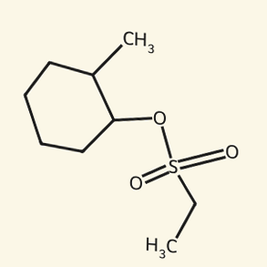 CCS(=O)(=O)OC1CCCCC1C